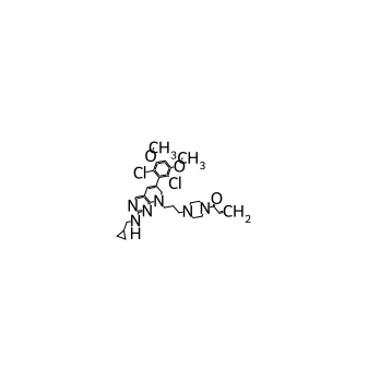 C=CC(=O)N1CCN(CCCN2CC(c3c(Cl)c(OC)cc(OC)c3Cl)=Cc3cnc(NCC4CC4)nc32)CC1